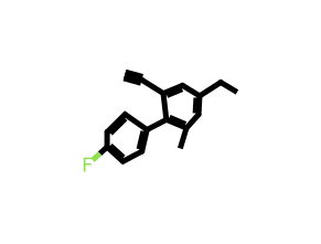 C#Cc1cc(CC)cc(C)c1-c1ccc(F)cc1